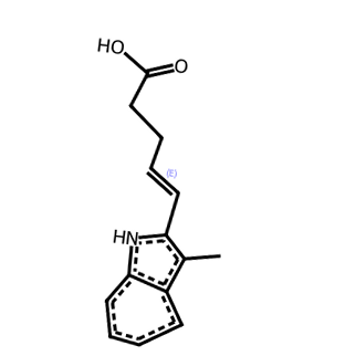 Cc1c(/C=C/CCC(=O)O)[nH]c2ccccc12